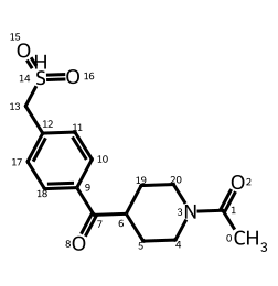 CC(=O)N1CCC(C(=O)c2ccc(C[SH](=O)=O)cc2)CC1